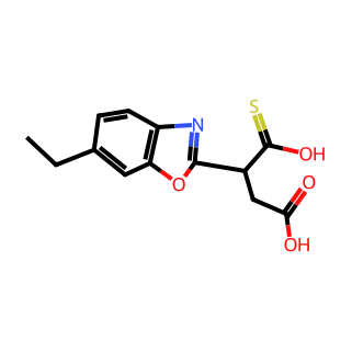 CCc1ccc2nc(C(CC(=O)O)C(O)=S)oc2c1